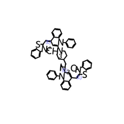 CN1/C(=C\c2c/c(=N\CC3CCN(C4=C/C(=C\c5sc6ccccc6[n+]5C)c5ccccc5N4c4ccccc4)CC3)n(-c3ccccc3)c3ccccc23)Sc2ccccc21